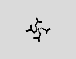 C=C(C)C[N+](CC(=C)C)(CC(=C)C)CC(=C)C